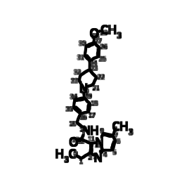 CCc1nc2ccc(C)cn2c1C(=O)NCc1ccc(N2CCC(c3ccc(OC)cc3)CC2)cc1